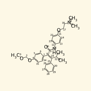 COCOc1ccc(C(C(=O)Nc2ccc(OCCN(C)C)cc2)=C(c2ccccc2)C(C)C)cc1